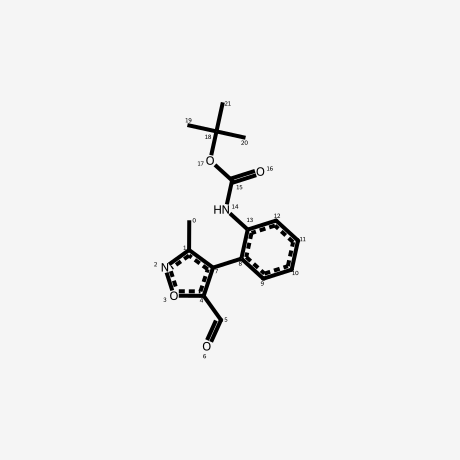 Cc1noc(C=O)c1-c1ccccc1NC(=O)OC(C)(C)C